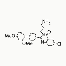 COc1ccc(-c2ccc(-c3nc4ccc(Cl)cc4c(=O)n3CCCN)cc2)c(OC)c1